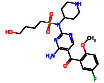 COc1ccc(F)cc1C(=O)c1cnc(N(C2CCNCC2)S(=O)(=O)CCCCO)nc1N